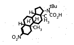 CC(C)(C)N(C(=O)O)[C@H]1CC[C@H]2[C@@H]3CC[C@H]4C=C([N+](=O)[O-])CC[C@]4(C)[C@H]3CC[C@]12C